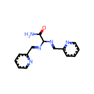 NC(=O)C(N=Cc1ccccn1)N=Cc1ccccn1